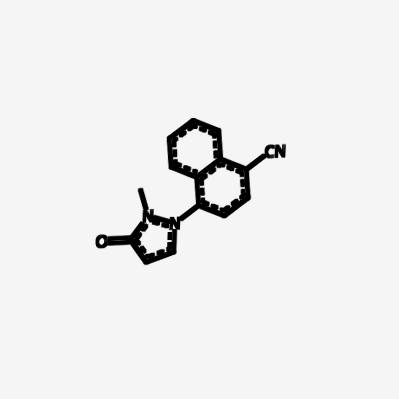 Cn1c(=O)ccn1-c1ccc(C#N)c2ccccc12